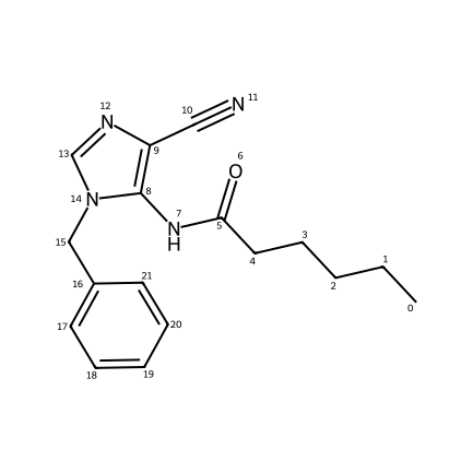 CCCCCC(=O)Nc1c(C#N)ncn1Cc1ccccc1